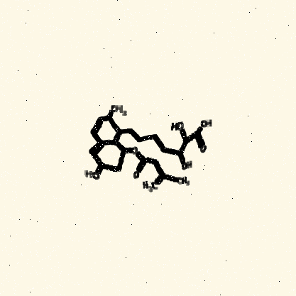 CC(C)CC(=O)OC1CC(O)C=C2C=CC(C)C(CCCCC(O)C(O)C(=O)O)C21